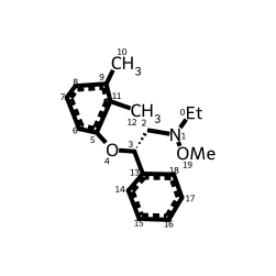 CCN(C[C@@H](Oc1cccc(C)c1C)c1ccccc1)OC